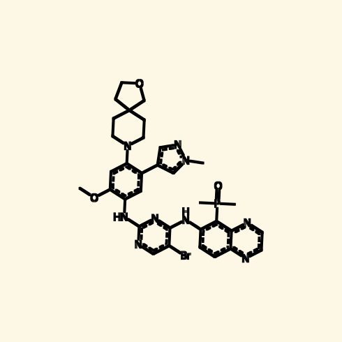 COc1cc(N2CCC3(CCOC3)CC2)c(-c2cnn(C)c2)cc1Nc1ncc(Br)c(Nc2ccc3nccnc3c2P(C)(C)=O)n1